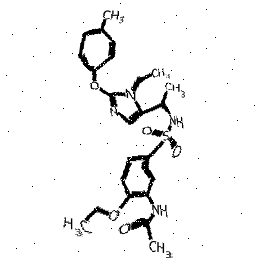 CCOc1ccc(S(=O)(=O)NC(C)c2cnc(Oc3ccc(C)cc3)n2CC)cc1NC(C)=O